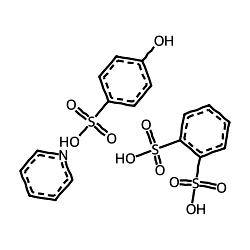 O=S(=O)(O)c1ccc(O)cc1.O=S(=O)(O)c1ccccc1S(=O)(=O)O.c1ccncc1